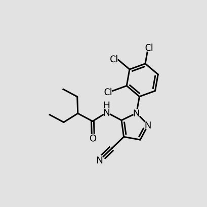 CCC(CC)C(=O)Nc1c(C#N)cnn1-c1ccc(Cl)c(Cl)c1Cl